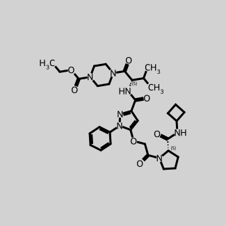 CCOC(=O)N1CCN(C(=O)[C@@H](NC(=O)c2cc(OCC(=O)N3CCC[C@H]3C(=O)NC3CCC3)n(-c3ccccc3)n2)C(C)C)CC1